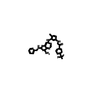 Cc1ccc(NCC(=O)C2=CCC(C(C)(F)F)=CC=C2)cc1NC1C=c2nc(NCc3ccccn3)nc(N)c2=NC=N1